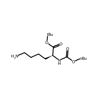 CCCCOC(=O)N[C@@H](CCCCN)C(=O)OC(C)(C)C